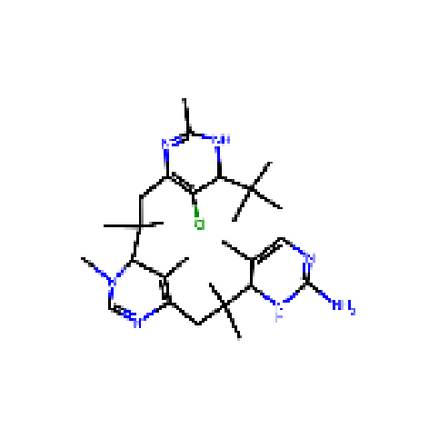 CC1=CN=C(N)NC1C(C)(C)CC1=C(C)C(C(C)(C)CC2=C(Cl)C(C(C)(C)C)NC(C)=N2)N(C)C=N1